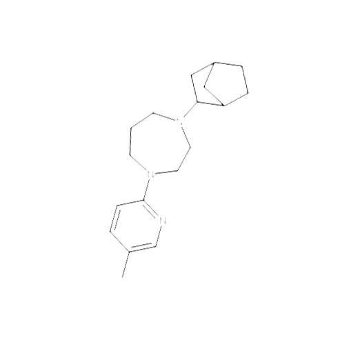 Cc1ccc(N2CCCN(C3CC4CCC3C4)CC2)nc1